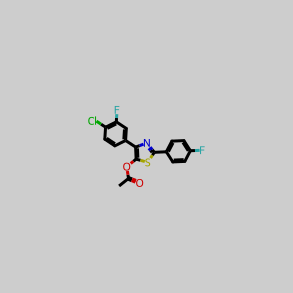 CC(=O)Oc1sc(-c2ccc(F)cc2)nc1-c1ccc(Cl)c(F)c1